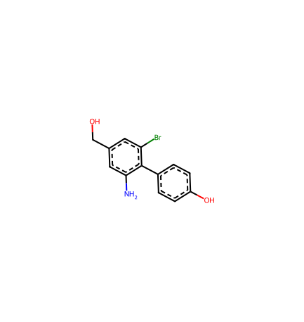 Nc1cc(CO)cc(Br)c1-c1ccc(O)cc1